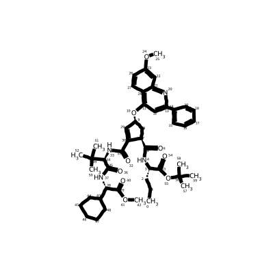 CCC[C@H](NC(=O)[C@@H]1C[C@@H](Oc2cc(-c3ccccc3)nc3cc(OC)ccc23)C=C1C(=O)N[C@@H](C(=O)N[C@H](C(=O)OC)C1CCCCC1)C(C)(C)C)C(=O)OC(C)(C)C